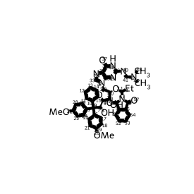 CCC(O[C@@H]1[C@H](O)[C@@H](C(O)C(c2ccccc2)(c2ccc(OC)cc2)c2ccc(OC)cc2)O[C@H]1n1cnc2c(=O)[nH]c(N=CN(C)C)nc21)N1C(=O)c2ccccc2C1=O